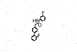 O=C(Cc1ccc(-c2ccccc2F)cc1)Nc1cccc(F)c1